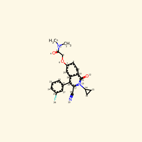 CN(C)C(=O)COc1ccc2c(=O)n(C3CC3)c(C#N)c(-c3cccc(F)c3)c2c1